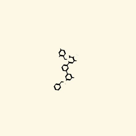 N#Cc1c(C(F)(F)F)cc(-c2cccc(-c3cc([S+]([O-])Cc4ccccc4)cc(C(F)(F)F)c3)c2)n(Cc2ccc(F)cc2F)c1=O